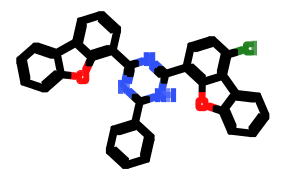 Clc1ccc(C2=NC(c3cccc4c3oc3ccccc34)=NC(c3ccccc3)N2)c2oc3ccccc3c12